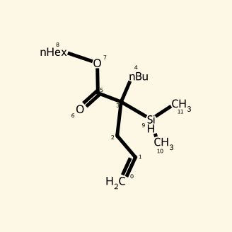 C=CCC(CCCC)(C(=O)OCCCCCC)[SiH](C)C